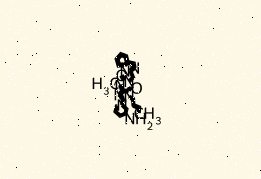 CC=CCn1c(N2CCC[C@@H](N)C2)nc2c1c(=O)n(Cc1ncc3ccccc3n1)c(=O)n2C